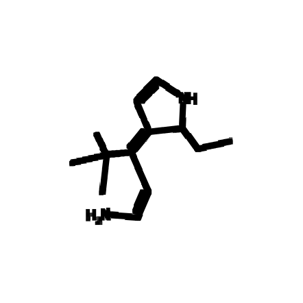 CCC1NC=C/C1=C(/C=C\N)C(C)(C)C